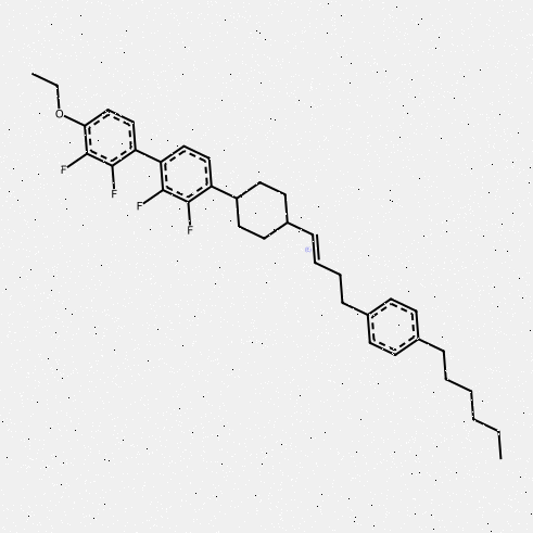 CCCCCCc1ccc(CC/C=C/C2CCC(c3ccc(-c4ccc(OCC)c(F)c4F)c(F)c3F)CC2)cc1